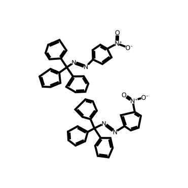 O=[N+]([O-])c1ccc(N=NC(c2ccccc2)(c2ccccc2)c2ccccc2)cc1.O=[N+]([O-])c1cccc(N=NC(c2ccccc2)(c2ccccc2)c2ccccc2)c1